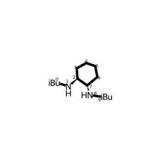 CCC(C)N[C@H]1CCCC[C@@H]1NC(C)CC